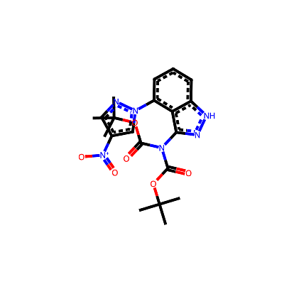 CC(C)(C)OC(=O)N(C(=O)OC(C)(C)C)c1n[nH]c2cccc(-n3cc([N+](=O)[O-])cn3)c12